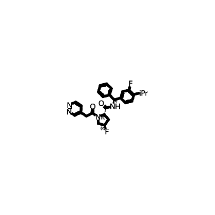 CC(C)c1ccc([C@@H](NC(=O)[C@@H]2C[C@@H](F)CN2C(=O)Cc2ccnnc2)c2ccccc2)cc1F